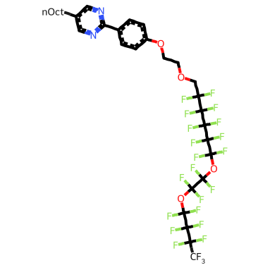 CCCCCCCCc1cnc(-c2ccc(OCCOCC(F)(F)C(F)(F)C(F)(F)C(F)(F)C(F)(F)OC(F)(F)C(F)(F)OC(F)(F)C(F)(F)C(F)(F)C(F)(F)F)cc2)nc1